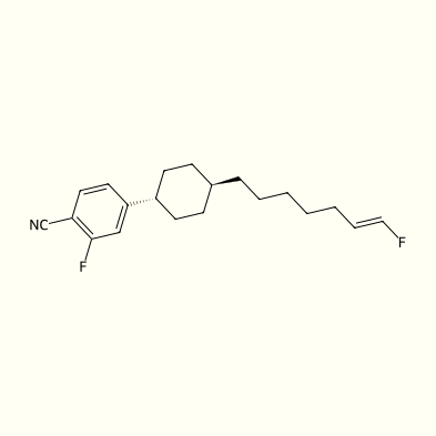 N#Cc1ccc([C@H]2CC[C@H](CCCCC/C=C/F)CC2)cc1F